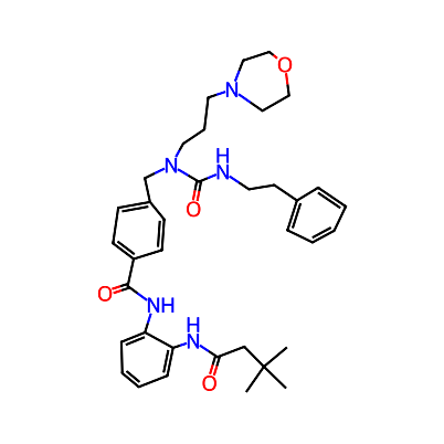 CC(C)(C)CC(=O)Nc1ccccc1NC(=O)c1ccc(CN(CCCN2CCOCC2)C(=O)NCCc2ccccc2)cc1